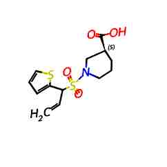 C=CC(c1cccs1)S(=O)(=O)N1CCC[C@H](C(=O)O)C1